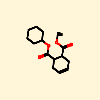 CCC(C)OC(=O)C1CC=CCC1C(=O)OC1CCCCC1